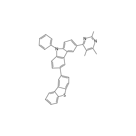 Cc1nc(C)c(C)c(-c2ccc3c(c2)c2cc(-c4ccc5sc6ccccc6c5c4)ccc2n3-c2ccccc2)n1